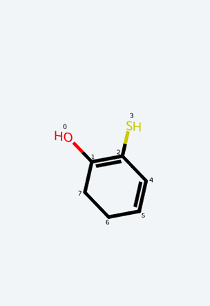 OC1=C(S)C=CCC1